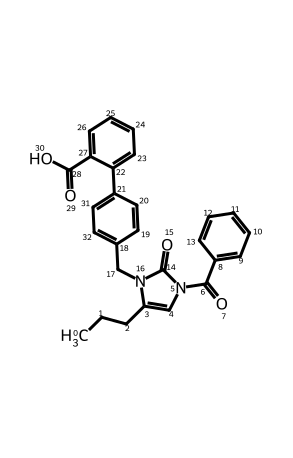 CCCc1cn(C(=O)c2ccccc2)c(=O)n1Cc1ccc(-c2ccccc2C(=O)O)cc1